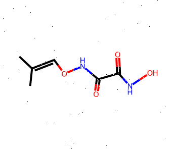 CC(C)=CONC(=O)C(=O)NO